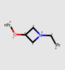 CCCOC1CN(CC(C)C)C1